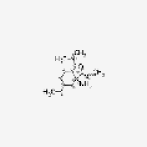 [CH2]CC1CCC(CN(C)C)C(N)(C(=O)OC)C1